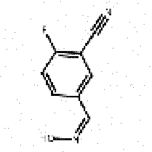 N#Cc1cc(/C=N\O)ccc1F